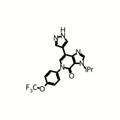 CC(C)n1cnc2c(-c3cn[nH]c3)cn(-c3ccc(OC(F)(F)F)cc3)c(=O)c21